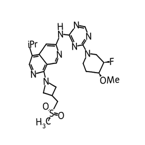 CO[C@H]1CCN(c2ncnc(Nc3cc4c(C(C)C)cnc(N5CC(CS(C)(=O)=O)C5)c4cn3)n2)C[C@H]1F